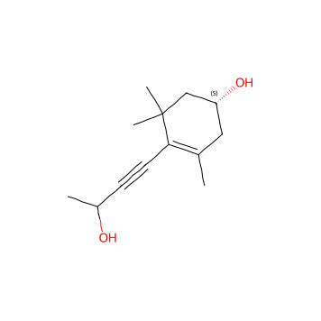 CC1=C(C#CC(C)O)C(C)(C)C[C@H](O)C1